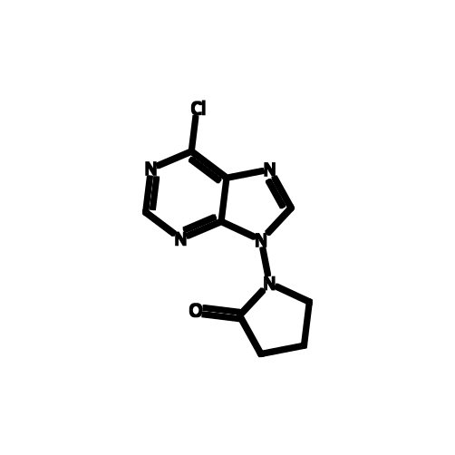 O=C1CCCN1n1cnc2c(Cl)ncnc21